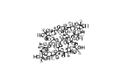 CCC(OC(=O)C(C)(COC(=O)C(C)(O)O)COC(=O)C(C)(O)O)(OC(=O)C(C)(COC(=O)C(C)(O)O)COC(=O)C(C)(O)O)C(=O)OCCOC(=O)C(C)(OC(=O)C(C)(COC(=O)C(C)(O)O)COC(=O)C(C)(O)O)OC(=O)C(C)(COC(=O)C(C)(O)O)COC(=O)C(C)(O)O